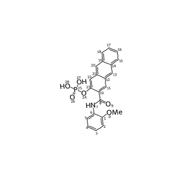 COc1ccccc1NC(=O)c1cc2cc3ccccc3cc2cc1OP(=O)(O)O